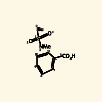 CCC(C)S(=O)(=O)NC.O=C(O)c1ccccc1